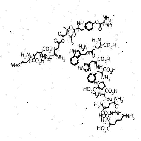 CC(C)C[C@H](N)C(=O)O.CC(C)[C@H](N)C(=O)Oc1ccc(C[C@H](N)C(=O)O[C@H](C)[C@H](N)C(=O)OC(=O)CC[C@H](N)C(=O)O)cc1.CC[C@H](C)[C@H](N)C(=O)O.CSCC[C@H](N)C(=O)O.NC(=O)CC[C@H](N)C(=O)O.NCC(=O)O.NCCCC[C@H](N)C(=O)O.N[C@@H](COC(=O)[C@@H](N)Cc1c[nH]c2ccccc12)C(=O)O.N[C@@H](Cc1c[nH]cn1)C(=O)O.N[C@@H](Cc1ccccc1)C(=O)O.O=C(O)[C@@H]1CCCN1